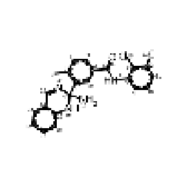 Cc1ccc(C(=O)Nc2cccc(Cl)c2Cl)cc1C1(N)N=Cc2ccccc2N1